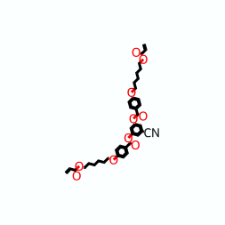 C=CC(=O)OCCCCCCOc1ccc(C(=O)Oc2cc(C#N)cc(OC(=O)c3ccc(OCCCCCCOC(=O)C=C)cc3)c2)cc1